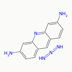 N=[N+]=N.Nc1ccc2cc3ccc(N)cc3nc2c1